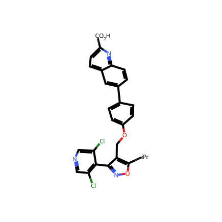 CC(C)c1onc(-c2c(Cl)cncc2Cl)c1COc1ccc(-c2ccc3nc(C(=O)O)ccc3c2)cc1